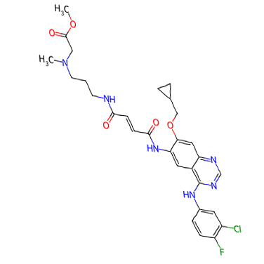 COC(=O)CN(C)CCCNC(=O)C=CC(=O)Nc1cc2c(Nc3ccc(F)c(Cl)c3)ncnc2cc1OCC1CC1